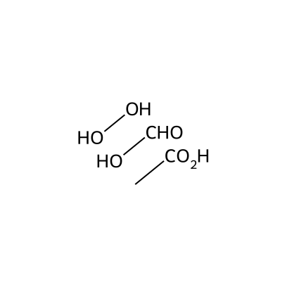 CC(=O)O.O=CO.OO